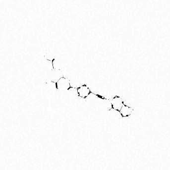 COC(=O)CC[C@H](NC(=O)c1ccc(C#Cn2cnc3nccc-3c2O)cc1)C(=O)OC